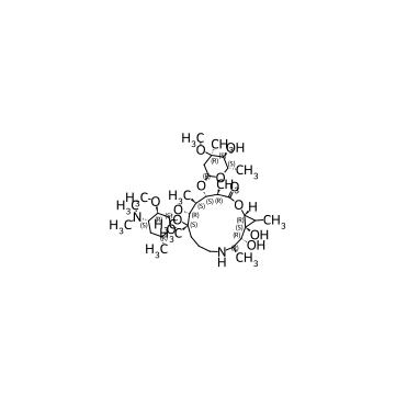 CO[C@H]1[C@H](O[C@@H]2[C@@H](C)[C@H](O[C@H]3C[C@@](C)(OC)[C@@H](O)[C@H](C)O3)[C@@H](C)C(=O)O[C@@H]3C(C)[C@]3(O)[C@H](O)[C@@H](C)NCCC[C@]2(C)OC)O[C@H](C)C[C@@H]1N(C)C